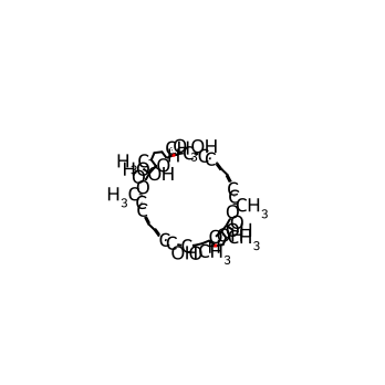 C[C@@H]1C(=O)C[C@@H](O)CC/C=C/C=C\CC[C@H](C)OC(=O)C(O)[C@]2(O)O[C@@H](CC[C@H]2C)[C@H](C)C(=O)C[C@@H](O)CC/C=C/C=C\CC[C@H](C)OC(=O)C(O)[C@]2(O)O[C@H]1CC[C@H]2C